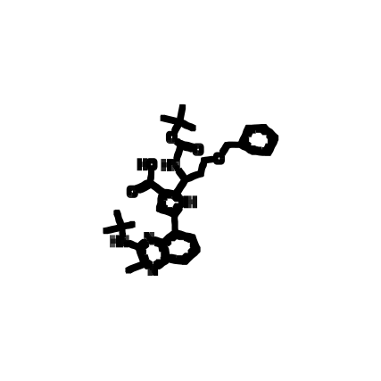 Cc1nc2cccc(-c3cc(C(=O)O)c(C(CCOCc4ccccc4)NC(=O)OC(C)(C)C)[nH]3)c2nc1NC(C)(C)C